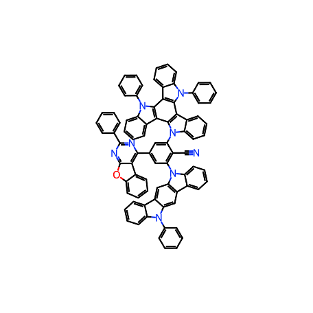 N#Cc1c(-n2c3ccccc3c3cc4c(cc32)c2ccccc2n4-c2ccccc2)cc(-c2nc(-c3ccccc3)nc3oc4ccccc4c23)cc1-n1c2ccccc2c2c3c(c4ccccc4n3-c3ccccc3)c3c(c4ccccc4n3-c3ccccc3)c21